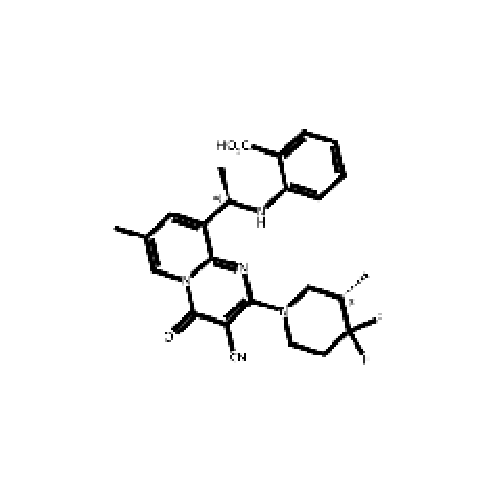 Cc1cc([C@@H](C)Nc2ccccc2C(=O)O)c2nc(N3CCC(F)(F)[C@@H](C)C3)c(C#N)c(=O)n2c1